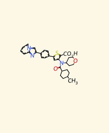 CC1CCC(C(=O)N(c2cc(-c3ccc(-c4cn5ccccc5n4)cc3)sc2C(=O)O)C2CCOCC2)CC1